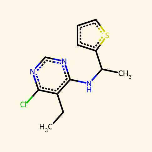 CCc1c(Cl)ncnc1NC(C)c1cccs1